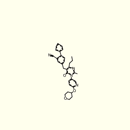 CCCc1nc(C)n(-c2ccc(OC3CCOCC3)nc2)c(=O)c1Cc1ccc(-c2ccccc2)c(C#N)c1